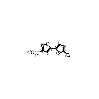 O=C(O)c1cc(-c2ccc(Cl)s2)on1